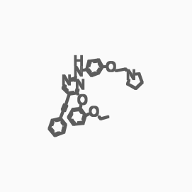 CCOc1ccccc1Oc1nc(Nc2ccc(OCCN3CCCC3)cc2)ncc1C#Cc1ccccc1